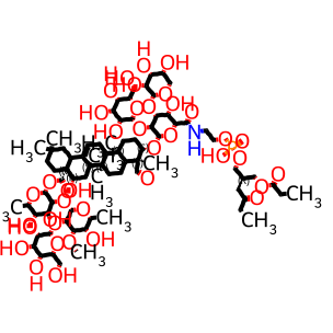 CCC(=O)C[C@H](COC(=O)CC)COP(=O)(O)OCCNC(=O)C1OC(O[C@H]2CC[C@@]3(C)C(CC[C@]4(C)C3CC=C3C5CC(C)(C)CC[C@]5(C(=O)OC5OC(C)C(O)C(O)C5OC5OC(C)C(O)C(OC)C5OC5OC(CO)C(O)C(O)C5O)[C@H](O)C[C@]34C)[C@]2(C)C=O)C(OC2OC(CO)C(O)C(O)C2O)C(OC2OCC(O)C(O)C2O)C1O